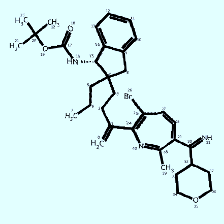 C=C(CCC1(CCC)Cc2ccccc2[C@H]1NC(=O)OC(C)(C)C)C1=C(Br)C=C=C(C(=N)C2CCOCC2)C(C)=N1